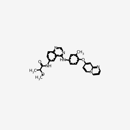 COC(C)C(=O)Nc1ccc2ncnc(Nc3ccc(OC4=CC5=NC=C=CN5C=C4)c(C)c3)c2c1